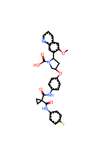 COc1cc2cccnc2cc1C1CC(Oc2ccc(NC(=O)C3(C(=O)Nc4ccc(F)cc4)CC3)cc2)CN1C(=O)O